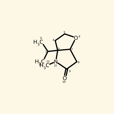 CC(C)C12CCOC1CC(=O)N2C